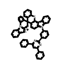 c1ccc(-c2cc(-c3ccccc3)nc(-c3cccc(-n4c5ccccc5c5c6c(ccc54)C4(c5ccccc5S6)c5ccccc5-n5c6ccccc6c6cccc4c65)c3)n2)cc1